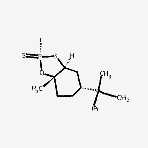 CC(C)C(C)(C)[C@@H]1CC[C@]2(C)O[P@](=S)(I)S[C@H]2C1